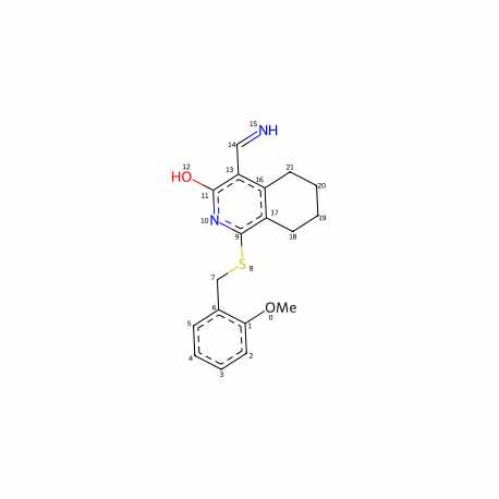 COc1ccccc1CSc1nc(O)c(C=N)c2c1CCCC2